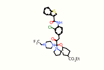 CCOC(=O)C1CCC(OC(C(=O)Cc2ccc(NC(=O)c3csc4ccccc34)c(Cl)c2)(N2CCCC2)N2CCN(CC(F)(F)F)CC2)CC1